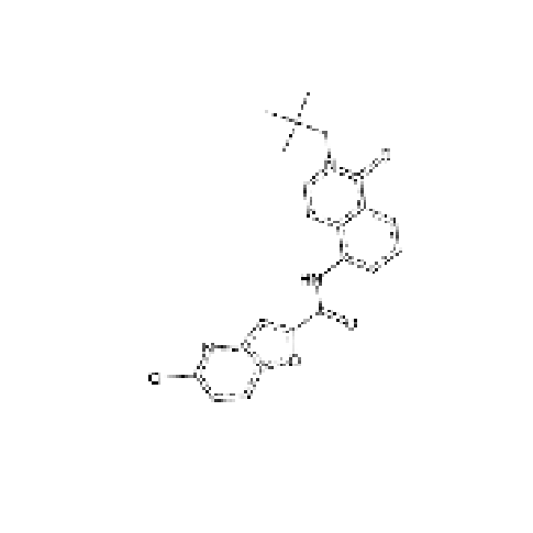 CC(C)(C)Cn1ccc2c(NC(=O)c3cc4nc(Cl)ccc4o3)cccc2c1=O